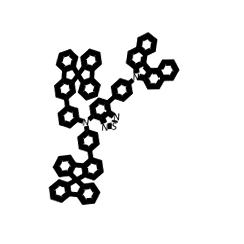 c1cc(-c2ccc3c(c2)C2(c4ccccc4-c4ccccc42)c2ccccc2-3)cc(N(c2ccc(-c3cccc4c3-c3ccccc3C43c4ccccc4-c4ccccc43)cc2)c2ccc(-c3ccc(-n4c5ccc6ccccc6c5c5c6ccccc6ccc54)cc3)c3nsnc23)c1